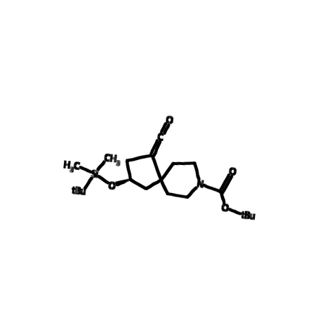 CC(C)(C)OC(=O)N1CCC2(CC1)C[C@@H](O[Si](C)(C)C(C)(C)C)CC2=C=O